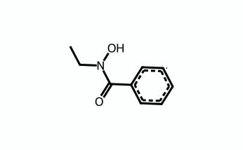 CCN(O)C(=O)c1c[c]ccc1